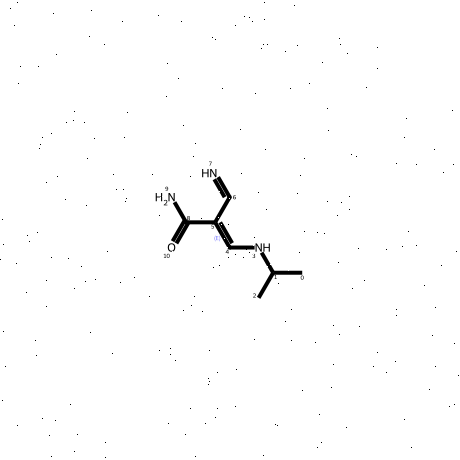 CC(C)N/C=C(\C=N)C(N)=O